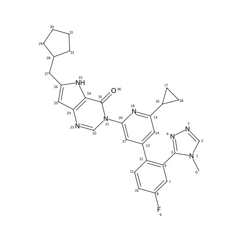 Cn1cnnc1-c1cc(F)ccc1-c1cc(C2CC2)nc(-n2cnc3cc(CC4CCCC4)[nH]c3c2=O)c1